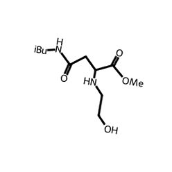 CCC(C)NC(=O)CC(NCCO)C(=O)OC